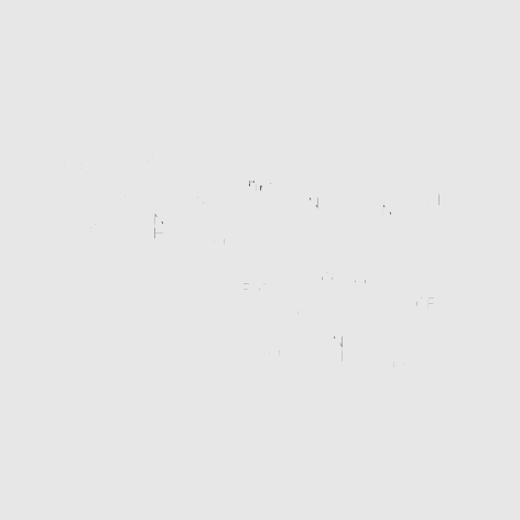 CCCN1C=CN(C)C1.O=S(=O)(NS(=O)(=O)C(F)(F)F)C(F)(F)F.O=S(=O)(NS(=O)(=O)C(F)(F)F)C(F)(F)F